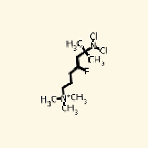 CC(C)(CC(F)CCC[N+](C)(C)C)N(Cl)Cl